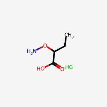 CCC(ON)C(=O)O.Cl